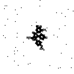 COc1ccc(-n2nc(C)c3c2C(c2ccc(Cl)cc2)N(c2cc(C)c(=O)n(C)c2)C3=O)cc1